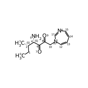 CC[C@H](C)[C@H](N)C(=O)C(=O)CN1C=CC=CN=C1